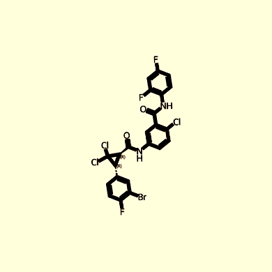 O=C(Nc1ccc(F)cc1F)c1cc(NC(=O)[C@H]2[C@H](c3ccc(F)c(Br)c3)C2(Cl)Cl)ccc1Cl